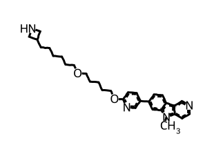 Cn1c2ccncc2c2ccc(-c3ccc(OCCCCCOCCCCCCC4CNC4)nc3)cc21